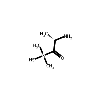 C[C@H](N)C(=O)S(C)(C)S